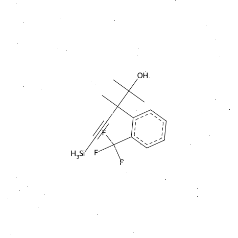 CC(C)(O)C(C)(C#C[SiH3])c1ccccc1C(F)(F)F